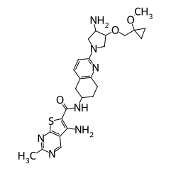 COC1(COC2CN(c3ccc4c(n3)CCC(NC(=O)c3sc5nc(C)ncc5c3N)C4)CC2N)CC1